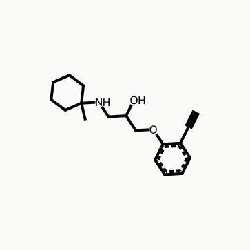 C#Cc1ccccc1OCC(O)CNC1(C)CCCCC1